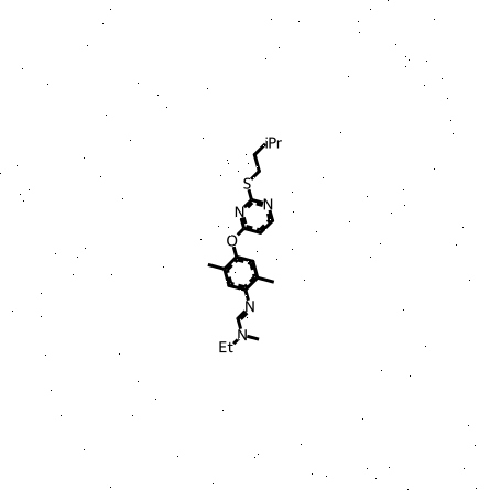 CCN(C)C=Nc1cc(C)c(Oc2ccnc(SCCC(C)C)n2)cc1C